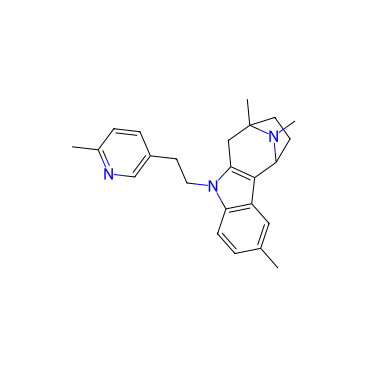 Cc1ccc2c(c1)c1c(n2CCc2ccc(C)nc2)CC2(C)CCC1N2C